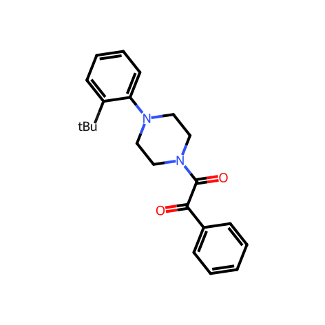 CC(C)(C)c1ccccc1N1CCN(C(=O)C(=O)c2ccccc2)CC1